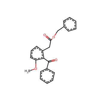 BOc1cccc(CC(=O)OCc2ccccc2)c1C(=O)c1ccccc1